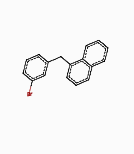 Brc1cccc(Cc2cccc3ccccc23)c1